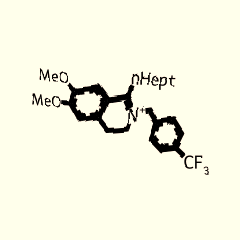 CCCCCCCC1=[N+](Cc2ccc(C(F)(F)F)cc2)CCc2cc(OC)c(OC)cc21